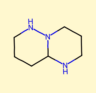 C1CNN2CCCNC2C1